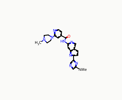 CNc1cncc(-c2ccc3cnc(NC(=O)c4ccnc(N5CCN(C)CC5)c4)cc3n2)n1